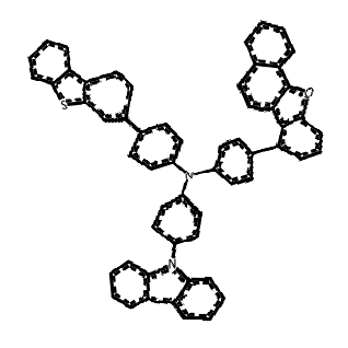 c1ccc2c(c1)ccc1c2oc2cccc(-c3ccc(N(c4ccc(-c5ccc6c(c5)sc5ccccc56)cc4)c4ccc(-n5c6ccccc6c6ccccc65)cc4)cc3)c21